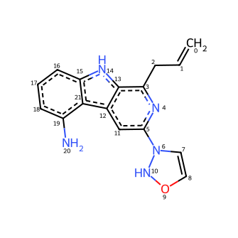 C=CCc1nc(N2C=CON2)cc2c1[nH]c1cccc(N)c12